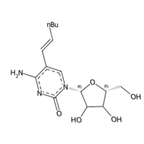 CCCCC=Cc1cn([C@@H]2O[C@H](CO)C(O)C2O)c(=O)nc1N